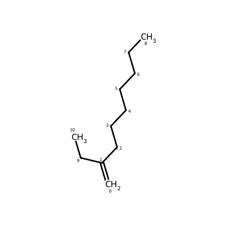 C=C([CH]CCCCCC)CC